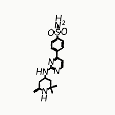 C=C1CC(Nc2nccc(-c3ccc(S(N)(=O)=O)cc3)n2)CC(C)(C)N1